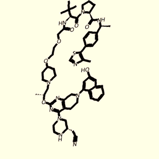 Cc1ncsc1-c1ccc([C@H](C)NC(=O)[C@@H]2C[C@@H](O)CN2C(=O)[C@@H](NC(=O)COCCOC2CCN(C[C@@H](C)Oc3nc4c(c(N5CCN[C@@H](CC#N)C5)n3)CCN(c3cc(O)cc5ccccc35)C4)CC2)C(C)(C)C)cc1